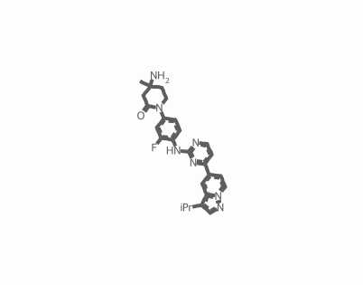 CC(C)c1cnn2ccc(-c3ccnc(Nc4ccc(N5CCC(C)(N)CC5=O)cc4F)n3)cc12